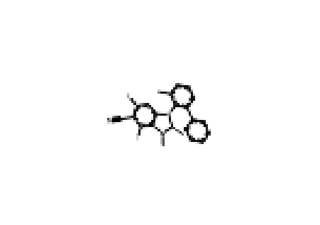 Cc1cccc(-c2ccccc2)c1N1c2cc(F)c(C#N)c(F)c2N(C)[C@@H]1C